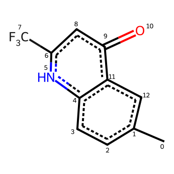 Cc1ccc2[nH]c(C(F)(F)F)cc(=O)c2c1